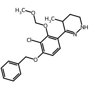 COCOc1c(C2=NNCCC2C)ccc(OCc2ccccc2)c1Cl